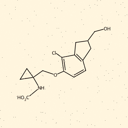 O=C(O)NC1(COc2ccc3c(c2Cl)CC(CO)C3)CC1